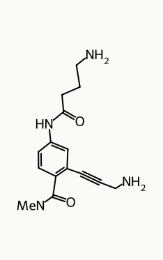 CNC(=O)c1ccc(NC(=O)CCCN)cc1C#CCN